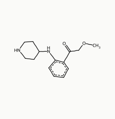 COCC(=O)c1ccccc1NC1CCNCC1